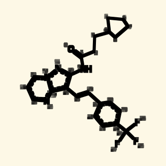 O=C(CCC1CCCC1)Nc1nn2cccnc2c1C=Cc1ccc(C(F)(F)F)cc1